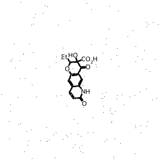 CCC1Oc2cc3ccc(=O)[nH]c3cc2C(=O)C1(O)C(=O)O